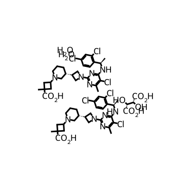 Cc1nc(N2CC([C@H]3CCCN(C4CC(C)(C(=O)O)C4)C3)C2)nc(N[C@H](C)c2ccc(Cl)cc2Cl)c1Cl.Cc1nc(N2CC([C@H]3CCCN(C4CC(C)(C(=O)O)C4)C3)C2)nc(N[C@H](C)c2ccc(Cl)cc2Cl)c1Cl.O.O.O=C(O)[C@H](O)[C@@H](O)C(=O)O